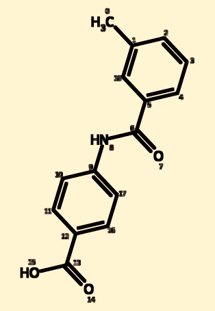 Cc1cccc(C(=O)Nc2ccc(C(=O)O)cc2)c1